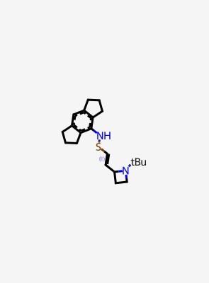 CC(C)(C)N1CCC1/C=C/SNc1c2c(cc3c1CCC3)CCC2